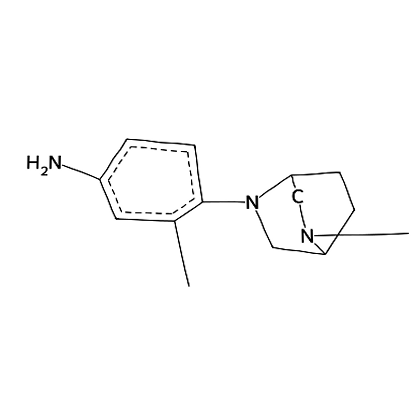 Cc1cc(N)ccc1N1CC2CCC1CN2C